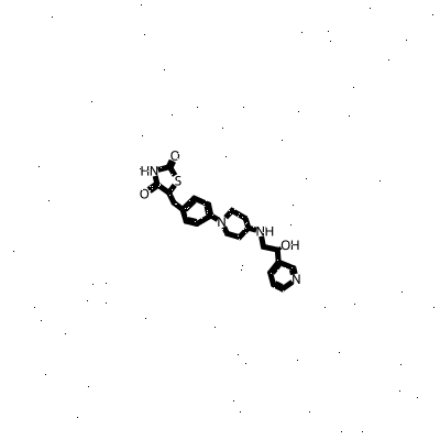 O=C1NC(=O)C(Cc2ccc(N3CCC(NC[C@@H](O)c4cccnc4)CC3)cc2)S1